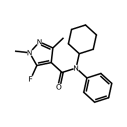 Cc1nn(C)c(F)c1C(=O)N(c1ccccc1)C1CCCCC1